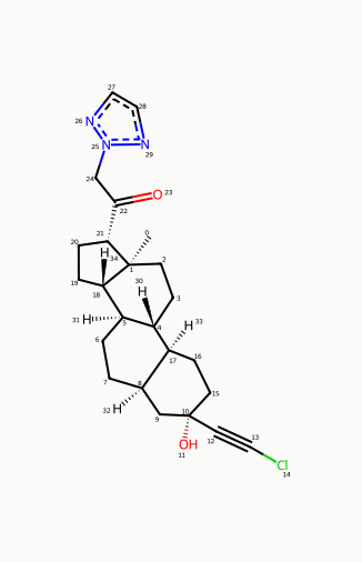 C[C@]12CC[C@H]3[C@@H](CC[C@@H]4C[C@](O)(C#CCl)CC[C@@H]43)[C@@H]1CC[C@@H]2C(=O)Cn1nccn1